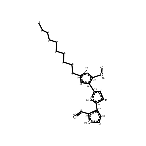 CCCCCCCCCCc1cc(-c2ccc(-c3ccsc3C=O)s2)c(OC)s1